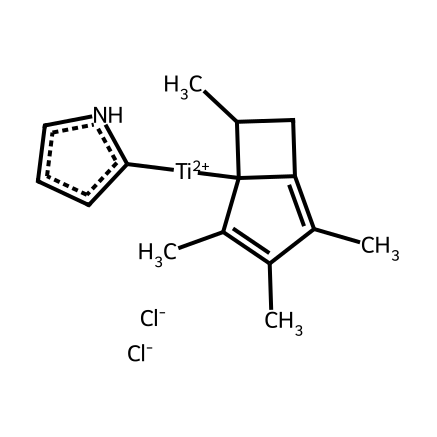 CC1=C(C)[C]2([Ti+2][c]3ccc[nH]3)C(=C1C)CC2C.[Cl-].[Cl-]